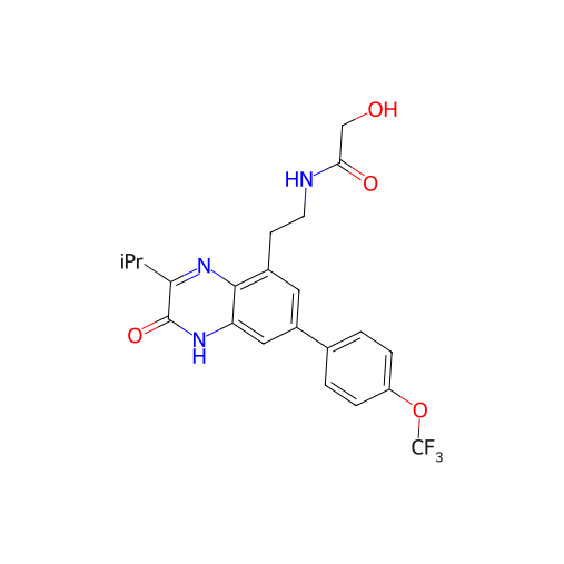 CC(C)c1nc2c(CCNC(=O)CO)cc(-c3ccc(OC(F)(F)F)cc3)cc2[nH]c1=O